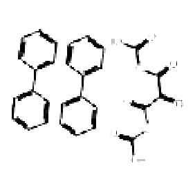 O=C(O)OC(=O)C(=O)C(=O)OC(=O)O.c1ccc(-c2ccccc2)cc1.c1ccc(-c2ccccc2)cc1